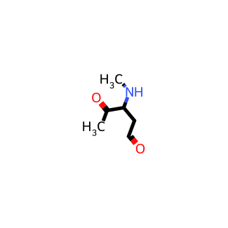 CNC(CC=O)C(C)=O